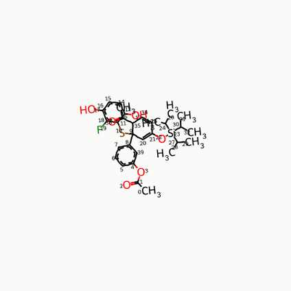 CC(=O)Oc1cccc(C2(Sc3c(O)ccc(O)c3F)C=C(O[Si](C(C)C)(C(C)C)C(C)C)C=CC2C(C)=O)c1